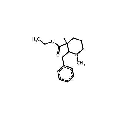 CCOC(=O)C1(F)CCCN(C)C1Cc1ccccc1